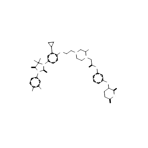 CC1(C)C(=O)N(c2ccc(C#N)c(C(F)(F)F)c2)C(=S)N1c1ccc(OCCN2CCN(CC(=O)Nc3cccc(NC4CCC(=O)NC4=O)c3)C(C(F)(F)F)C2)c(C2CC2)c1